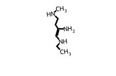 CCN/C=C(\N)CCNC